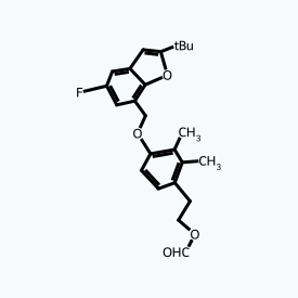 Cc1c(CCOC=O)ccc(OCc2cc(F)cc3cc(C(C)(C)C)oc23)c1C